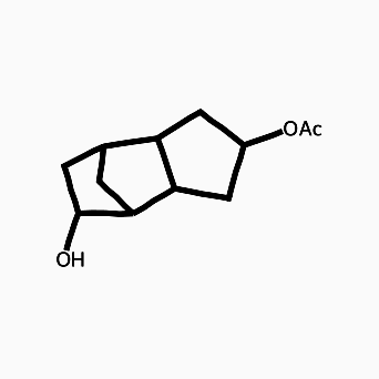 CC(=O)OC1CC2C3CC(O)C(C3)C2C1